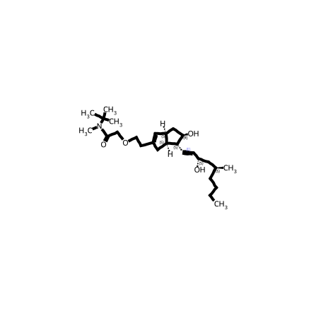 CCCC[C@H](C)C[C@H](O)/C=C/[C@@H]1[C@H]2CC(CCOCC(=O)N(C)C(C)(C)C)=C[C@H]2C[C@H]1O